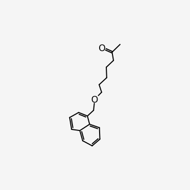 CC(=O)CCCCCOCc1cccc2ccccc12